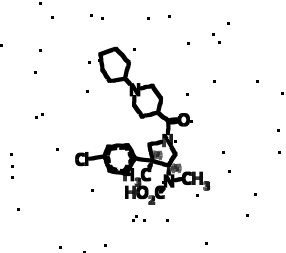 CN(C(=O)O)[C@@H]1CN(C(=O)C2CCN(C3CCCCC3)CC2)C[C@@]1(C)c1ccc(Cl)cc1